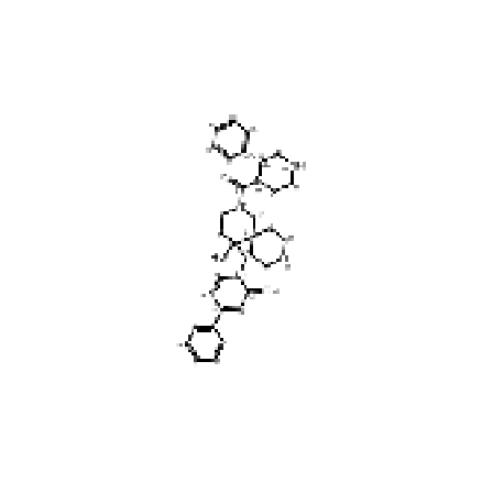 O=C(N1CCC(O)(Cn2cnc(-c3ccccc3)cc2=O)C2(CCOCC2)C1)N1CCNC[C@H]1c1ccccc1